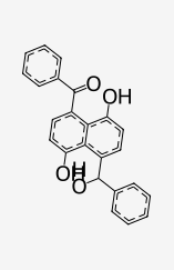 O=C(c1ccccc1)c1ccc(O)c2c(C(O)c3ccccc3)ccc(O)c12